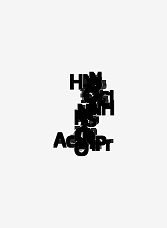 CC(=O)c1cc(-c2nnc(Nc3ccc4[nH]ncc4c3Cl)s2)cn(C(C)C)c1=O